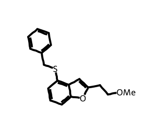 COCCc1cc2c(SCc3ccccc3)cccc2o1